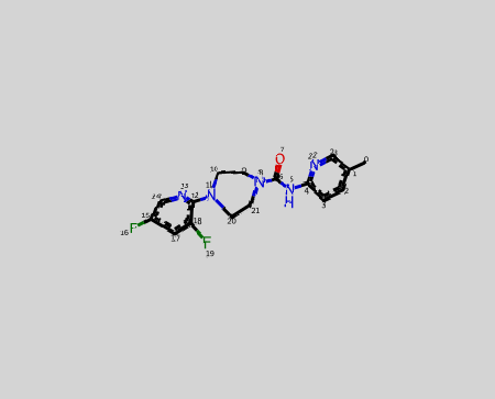 Cc1ccc(NC(=O)N2CCN(c3ncc(F)cc3F)CC2)nc1